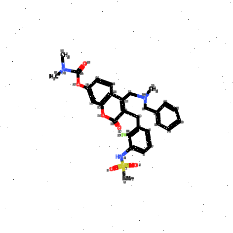 CNS(=O)(=O)Nc1cccc(Cc2c(CN(C)Cc3ccccc3)c3ccc(OC(=O)N(C)C)cc3oc2=O)c1F